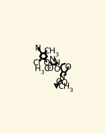 COc1c(Oc2cc(C)c(C#N)cc2Cl)ncnc1O[C@H]1CCOCC2CN(C(=O)OC3(C)CC3)CC21